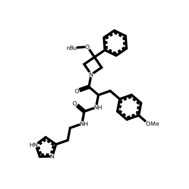 CCCCOC1(c2ccccc2)CN(C(=O)C(Cc2ccc(OC)cc2)NC(=O)NCCc2c[nH]cn2)C1